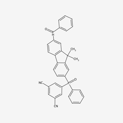 CC1(C)c2cc([PH](=O)c3ccccc3)ccc2-c2ccc(P(=O)(c3ccccc3)c3cc(C#N)cc(C#N)c3)cc21